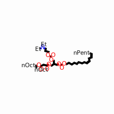 CCCCC/C=C\C/C=C\CCCCCCCCOC(=O)OCC(COC(=O)CC(=O)OC(CCCCCCCC)CCCCCCCC)COC(=O)OCCCN(CC)CC